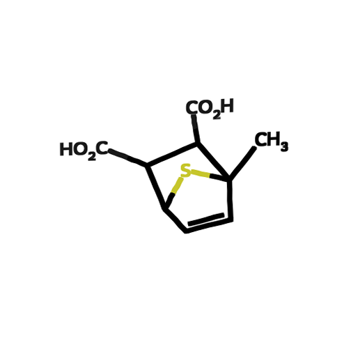 CC12C=CC(S1)C(C(=O)O)C2C(=O)O